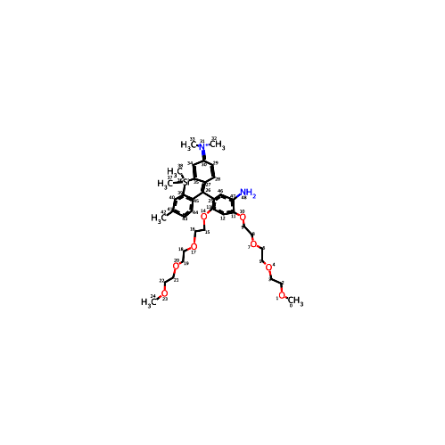 COCCOCCOCCOc1cc(OCCOCCOCCOC)c(C2=C3C=CC(=[N+](C)C)C=C3[Si](C)(C)c3cc(C)ccc32)cc1N